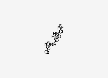 O=C(Nc1cccc(C(F)(F)F)c1)Nc1ncc(CCNc2ncnc3cc(-c4ccco4)sc23)s1